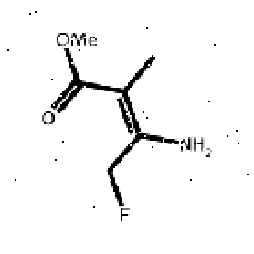 COC(=O)/C(C)=C(/N)CF